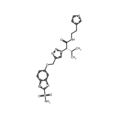 CC(C)[C@@H](C(=O)NCCc1ccsc1)n1cc(COc2ccc3nc(S(N)(=O)=O)sc3c2)nn1